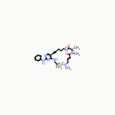 CCCNc1nc(Nc2ccccc2)ncc1C#CCCCNC(=O)[C@H](C)N(C)C(=O)C=CCN(C)C